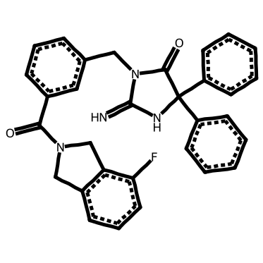 N=C1NC(c2ccccc2)(c2ccccc2)C(=O)N1Cc1cccc(C(=O)N2Cc3cccc(F)c3C2)c1